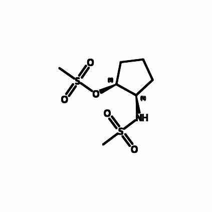 CS(=O)(=O)N[C@@H]1CCC[C@@H]1OS(C)(=O)=O